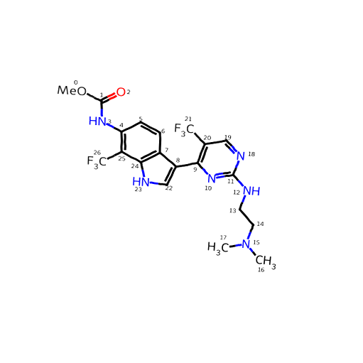 COC(=O)Nc1ccc2c(-c3nc(NCCN(C)C)ncc3C(F)(F)F)c[nH]c2c1C(F)(F)F